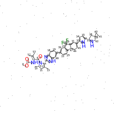 COC(=O)N[C@H](C(=O)N1[C@H](C)C[C@H](C)[C@H]1c1nc2ccc(-c3ccc4c(c3)C(F)(F)c3cc(-c5ccc([C@@H]6CC7(CC7)CN6)[nH]5)ccc3-4)cc2[nH]1)C(C)C